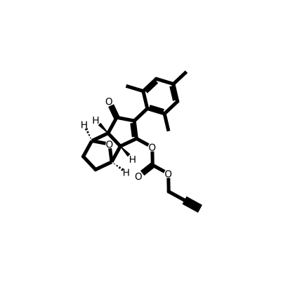 C#CCOC(=O)OC1=C(c2c(C)cc(C)cc2C)C(=O)[C@@H]2[C@H]1[C@H]1CC[C@@H]2O1